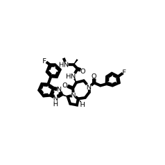 CN[C@@H](C)C(=O)N[C@H]1CN(C(=O)Cc2ccc(F)cc2)CC[C@H]2CC[C@@H](c3nc4c(-c5cccc(F)c5)cccc4[nH]3)N2C1=O